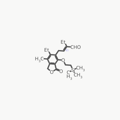 CC/C(C=O)=C\Cc1c(CC)c(C)c2c(c1OCC[Si](C)(C)C)C(=O)OC2